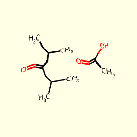 CC(=O)O.CC(C)C(=O)C(C)C